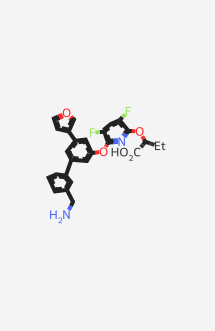 CCC(Oc1nc(Oc2cc(-c3ccoc3)cc(-c3cccc(CN)c3)c2)c(F)cc1F)C(=O)O